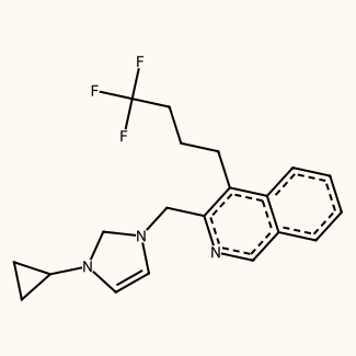 FC(F)(F)CCCc1c(CN2C=CN(C3CC3)C2)ncc2ccccc12